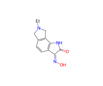 CCN1Cc2ccc3c(c2C1)NC(=O)/C3=N\O